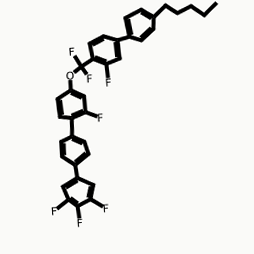 CCCCCc1ccc(-c2ccc(C(F)(F)Oc3ccc(-c4ccc(-c5cc(F)c(F)c(F)c5)cc4)c(F)c3)c(F)c2)cc1